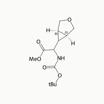 COC(=O)C(NC(=O)OC(C)(C)C)C1[C@H]2COC[C@@H]12